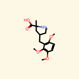 CCC(Cc1c(OC)ccc(OC)c1OC)CC(C)(N)C(=O)O